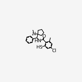 Cc1cc(Cl)cc(S)c1C(=O)NC(c1ccccc1)C1(N(C)C)CCCC1